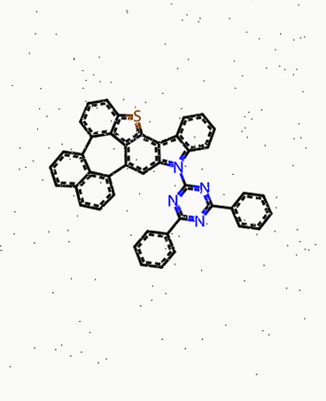 c1ccc(-c2nc(-c3ccccc3)nc(-n3c4ccccc4c4c5sc6cccc7c6c5c(cc43)-c3cccc4cccc-7c34)n2)cc1